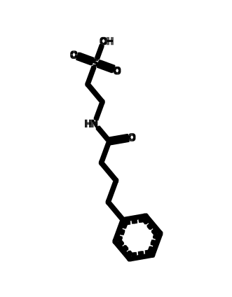 O=C(CCCc1ccccc1)NCCS(=O)(=O)O